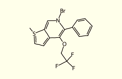 CS1=CC=C2C1=CN(Br)C(c1ccccc1)=C2OCC(F)(F)F